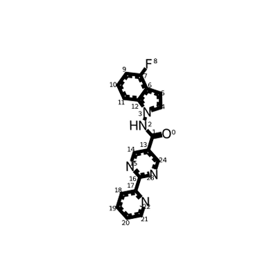 O=C(Nn1ccc2c(F)cccc21)c1cnc(-c2ccccn2)nc1